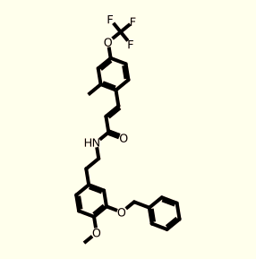 COc1ccc(CCNC(=O)/C=C/c2ccc(OC(F)(F)F)cc2C)cc1OCc1ccccc1